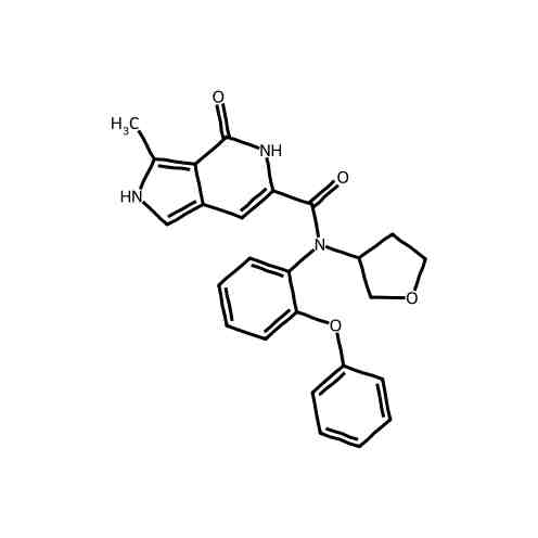 Cc1[nH]cc2cc(C(=O)N(c3ccccc3Oc3ccccc3)C3CCOC3)[nH]c(=O)c12